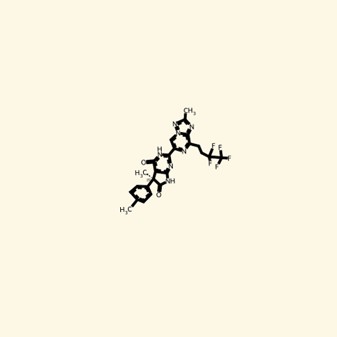 Cc1ccc([C@]2(C)C(=O)Nc3nc(-c4cn5nc(C)nc5c(CCC(F)(F)C(F)(F)F)n4)[nH]c(=O)c32)cc1